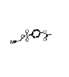 CC(=O)Oc1ccc(S(=O)(=O)OCC#N)cc1